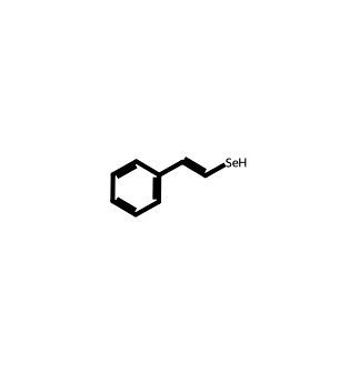 [SeH]C=Cc1ccccc1